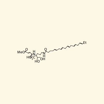 CCC=CCC=CCC=CCC=CCC=CCCCC(=O)NCCC[C@@](NC(=O)C=CC(=O)OC)(C(=O)O)C(CO)CO